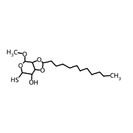 CCCCCCCCCCCC1OC2C(OC)OC(S)C(O)C2O1